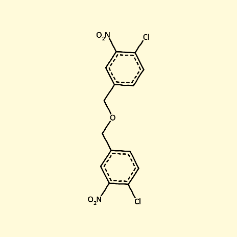 O=[N+]([O-])c1cc(COCc2ccc(Cl)c([N+](=O)[O-])c2)ccc1Cl